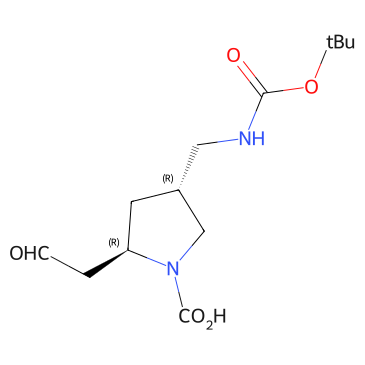 CC(C)(C)OC(=O)NC[C@H]1C[C@H](CC=O)N(C(=O)O)C1